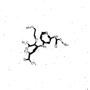 CC/C(C)=C(C)/C=C(Nc1ccnc(NC(=O)OC(C)(C)C)c1)\C(OCCOC)=C(\C)CC